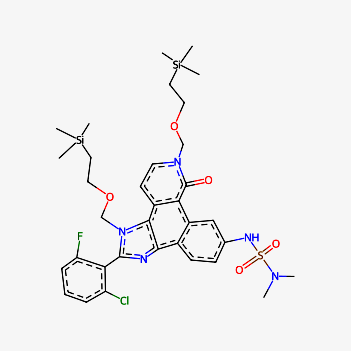 CN(C)S(=O)(=O)Nc1ccc2c(c1)c1c(=O)n(COCC[Si](C)(C)C)ccc1c1c2nc(-c2c(F)cccc2Cl)n1COCC[Si](C)(C)C